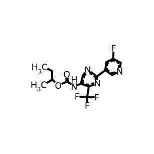 CCC(C)OC(=O)Nc1cnc(-c2cncc(F)c2)nc1C(F)(F)F